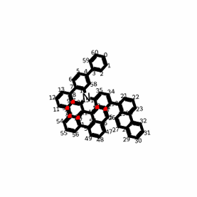 c1ccc(-c2ccc(-c3ccccc3)c(N(c3ccc(-c4cccc5c4ccc4ccccc45)cc3)c3ccccc3-c3cccc4cccc(-c5ccccc5)c34)c2)cc1